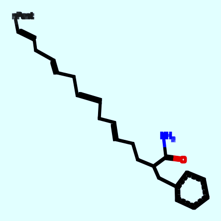 CCCCCC=CCC=CCC=CCC=CCCC(Cc1ccccc1)C(N)=O